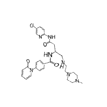 CN1CCN(CCNCC(CC(=O)Nc2ccc(Cl)cn2)NC(=O)c2ccc(-n3ccccc3=O)cc2)CC1